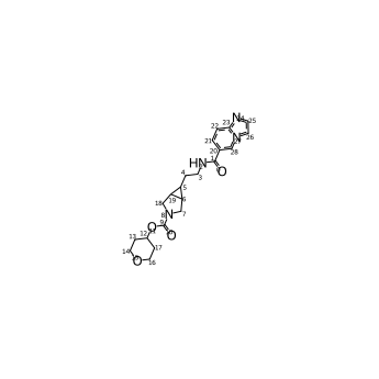 O=C(NCCC1C2CN(C(=O)OC3CCOCC3)CC12)c1ccc2nccn2c1